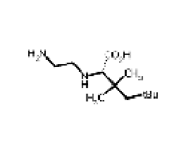 CC(C)(C)CC(C)(C)[C@H](NCCN)C(=O)O